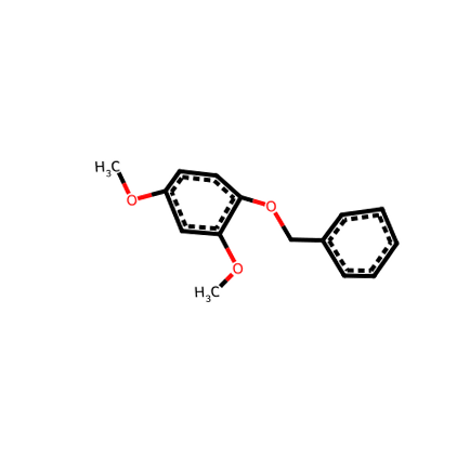 COc1ccc(OCc2ccccc2)c(OC)c1